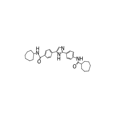 O=C(NC1CCCCCC1)c1ccc(-c2cnc(-c3ccc(NC(=O)C4CCCCCC4)cc3)[nH]2)cc1